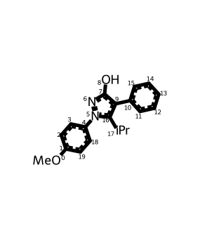 COc1ccc(-n2nc(O)c(-c3ccccc3)c2C(C)C)cc1